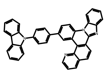 c1cnc2c(c1)ccc1c2c2cc(-c3ccc(-n4c5ccccc5c5ccccc54)cc3)ccc2n2c3ccccc3nc12